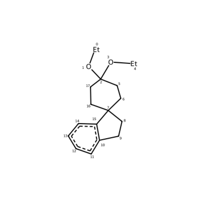 CCOC1(OCC)CCC2(CCc3ccccc32)CC1